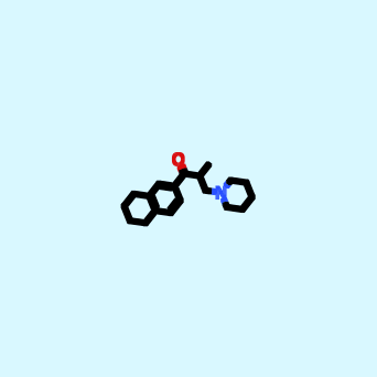 CC(CN1CCCCC1)C(=O)c1ccc2c(c1)CCCC2